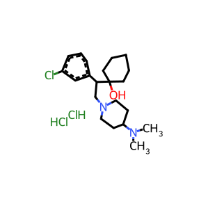 CN(C)C1CCN(CC(c2cccc(Cl)c2)C2(O)CCCCC2)CC1.Cl.Cl